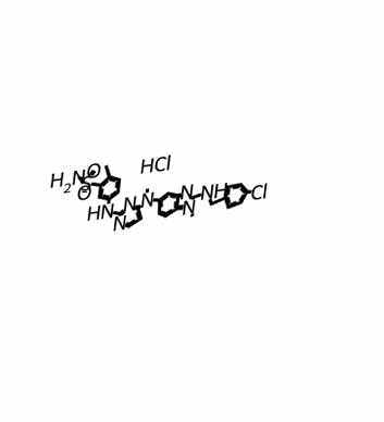 Cc1ccc(Nc2nccc(N(C)c3ccc4c(c3)nc(NCc3ccc(Cl)cc3)n4C)n2)cc1S(N)(=O)=O.Cl